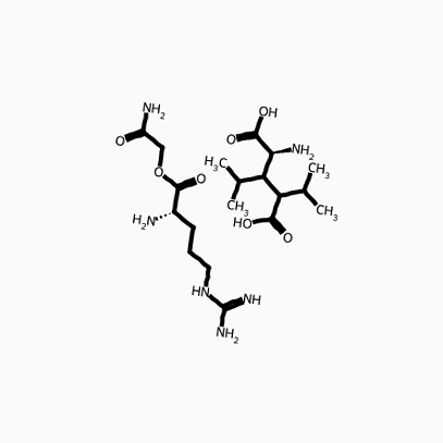 CC(C)C(C(=O)O)C(C(C)C)[C@H](N)C(=O)O.N=C(N)NCCC[C@H](N)C(=O)OCC(N)=O